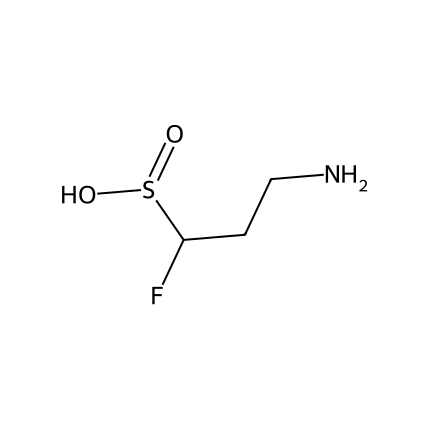 NCCC(F)S(=O)O